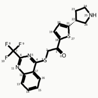 O=C(CSc1nc(C(F)(F)F)nc2ccccc12)c1ccc([C@@H]2CCNC2)s1